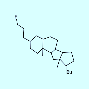 CCC(C)C1CCC2C3CCC4CC(CCCF)CCC4(C)C3CC12C